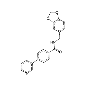 O=C(NCc1ccc2c(c1)OCO2)c1ccc(-c2cccnc2)cc1